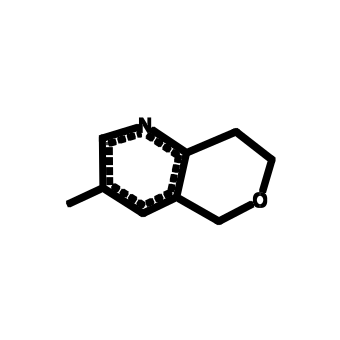 Cc1cnc2c(c1)COCC2